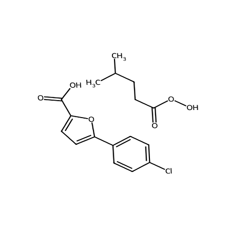 CC(C)CCC(=O)OO.O=C(O)c1ccc(-c2ccc(Cl)cc2)o1